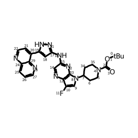 CC(C)(C)OC(=O)N1CCC(n2cc(F)c3ncc(Nc4cc(-c5ccnc6cccnc56)[nH]n4)nc32)CC1